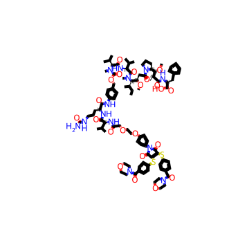 CCC(C)[C@@H]([C@@H](CC(=O)N1CCC[C@H]1[C@H](OC)[C@@H](C)C(=O)N[C@@H](Cc1ccccc1)C(=O)O)OC)N(C)C(=O)[C@@H](NC(=O)[C@H](C(C)C)N(C)C(=O)OCc1ccc(NC(=O)[C@H](CCCNC(N)=O)NC(=O)[C@@H](NC(=O)COCCOc2ccc(N3C(=O)C(Sc4ccc(C(=O)N5CCOCC5)cc4)=C(Sc4ccc(C(=O)N5CCOCC5)cc4)C3=O)cc2)C(C)C)cc1)C(C)C